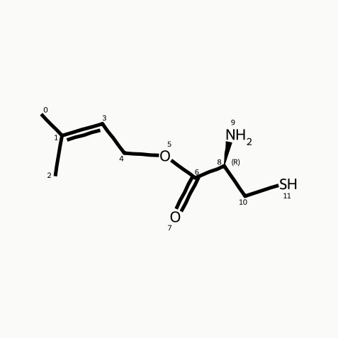 CC(C)=CCOC(=O)[C@@H](N)CS